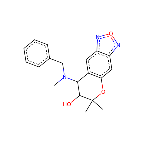 CN(Cc1ccccc1)C1c2cc3nonc3cc2OC(C)(C)C1O